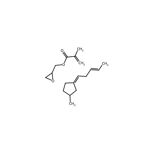 C=C(C)C(=O)OCC1CO1.CC=CCC=C1CCC(C)C1